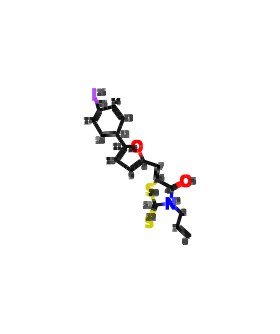 C=CCN1C(=O)C(=Cc2ccc(-c3ccc(I)cc3)o2)SC1=S